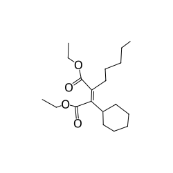 CCCCC/C(C(=O)OCC)=C(/C(=O)OCC)C1CCCCC1